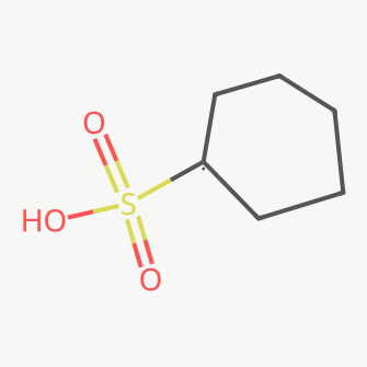 O=S(=O)(O)[C]1CCCCC1